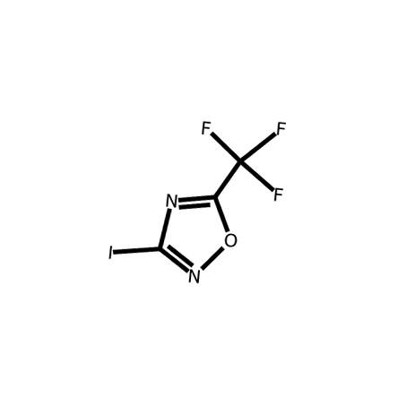 FC(F)(F)c1nc(I)no1